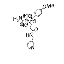 COc1ccc(S(=O)(=O)[N+](O)(CCC(=O)NCc2cccnc2)[C@@H](C(N)=O)C(C)C)cc1